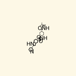 CC(C)[C@@H](C)NC(=O)[C@H]1CC[C@H](NS(=O)(=O)c2ccc3[nH]c(-c4cccnc4)cc3c2)CC1